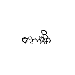 Cn1c(SCC(=O)Oc2ccccc2)nc2c(c1=O)C1(CCCC1)CC1=C2CCC=C1